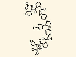 COC(=O)N[C@H](C(=O)N1CCC[C@H]1C(=O)Nc1ccc([C@@H]2CC[C@@H](c3ccc(NC(=O)[C@@H]4CCCN4C(=O)[C@@H](NC(=O)OC)[C@H]4CCOC4)cc3)N2c2ccc(F)cc2)cc1)[C@H]1CCOC1